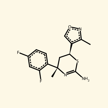 Cc1nocc1[C@@H]1C[C@@](C)(c2ccc(F)cc2F)N=C(N)S1